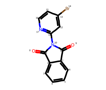 O=C1c2ccccc2C(=O)N1c1cc(Br)ccn1